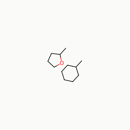 CC1CCCCC1.CC1CCCO1